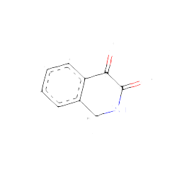 C[C@H]1NC(=O)C(=O)c2ccccc21